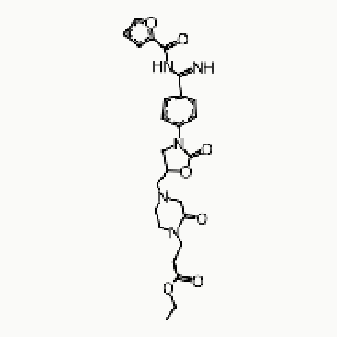 CCOC(=O)CCN1CCN(CC2CN(c3ccc(C(=N)NC(=O)c4ccco4)cc3)C(=O)O2)CC1=O